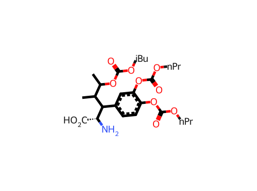 CCCOC(=O)Oc1ccc(C(C(C)C(C)OC(=O)OC(C)CC)[C@H](N)C(=O)O)cc1OC(=O)OCCC